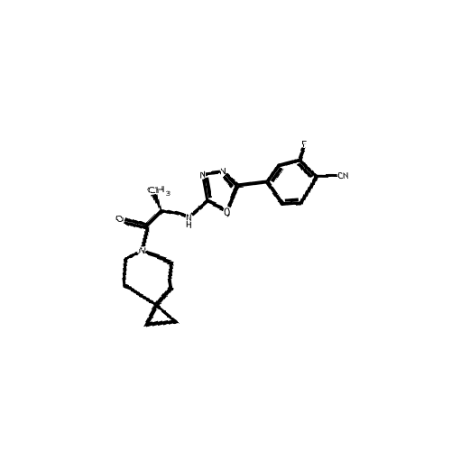 C[C@@H](Nc1nnc(-c2ccc(C#N)c(F)c2)o1)C(=O)N1CCC2(CC1)CC2